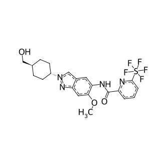 COc1cc2nn([C@H]3CC[C@H](CO)CC3)cc2cc1NC(=O)c1cccc(S(F)(F)(F)(F)F)n1